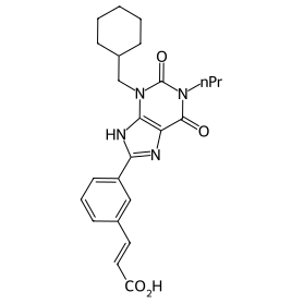 CCCn1c(=O)c2nc(-c3cccc(/C=C/C(=O)O)c3)[nH]c2n(CC2CCCCC2)c1=O